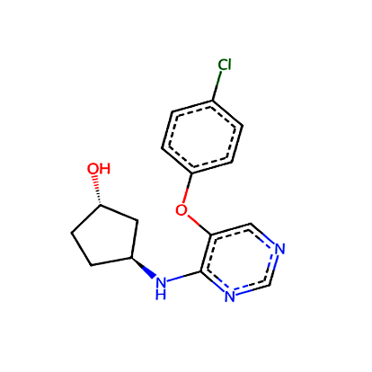 O[C@H]1CC[C@H](Nc2ncncc2Oc2ccc(Cl)cc2)C1